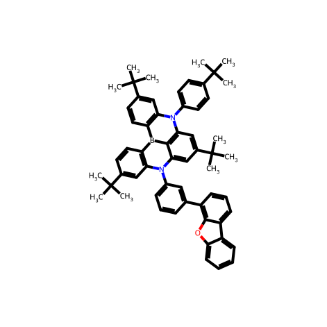 CC(C)(C)c1ccc(N2c3cc(C(C)(C)C)ccc3B3c4ccc(C(C)(C)C)cc4N(c4cccc(-c5cccc6c5oc5ccccc56)c4)c4cc(C(C)(C)C)cc2c43)cc1